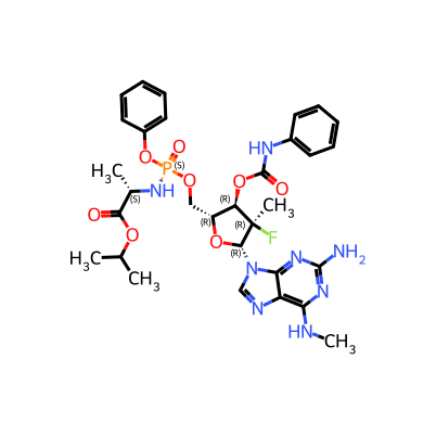 CNc1nc(N)nc2c1ncn2[C@@H]1O[C@H](CO[P@@](=O)(N[C@@H](C)C(=O)OC(C)C)Oc2ccccc2)[C@@H](OC(=O)Nc2ccccc2)[C@@]1(C)F